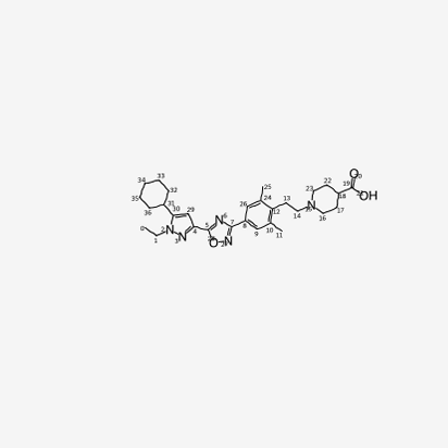 CCn1nc(-c2nc(-c3cc(C)c(CCN4CCC(C(=O)O)CC4)c(C)c3)no2)cc1C1CCCCC1